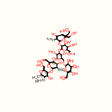 CC(=O)NC1C(O)CC(CO)(CO)O[C@H]1OC1C(OC2C(O)[C@H](O[C@@H]3C(CO)O[C@@H](O[C@@H]4C(CO)O[C@@H](C)C(NC(C)=O)C4O)C(NC(C)=O)C3O)OC(CO[C@H]3OC(CO)[C@@H](O)C(O)C3O)[C@H]2O)OC(CO)C(O)C1O